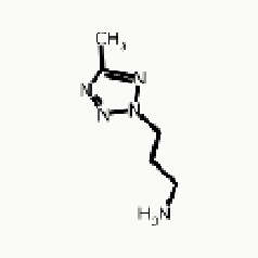 Cc1nnn(CCCN)n1